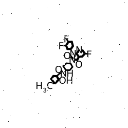 Cc1ccc(C(=O)N[C@H]2CC[C@@H](n3c(=O)c4cc(F)cnc4n(-c4ccc(F)c(F)c4)c3=O)CC2)c(O)c1